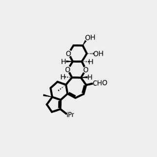 CC(C)C1=C2C3=CC=C(C=O)[C@H]4O[C@H]5[C@@H](OC[C@@H](O)[C@@H]5O)O[C@@H]4[C@]3(C)CC[C@@]2(C)CC1